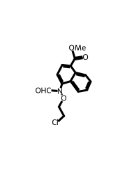 COC(=O)c1ccc(N(C=O)OCCCl)c2ccccc12